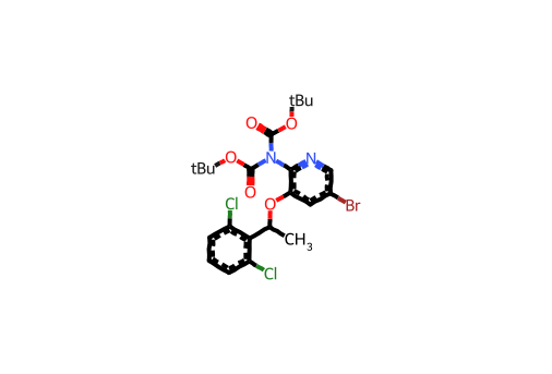 CC(Oc1cc(Br)cnc1N(C(=O)OC(C)(C)C)C(=O)OC(C)(C)C)c1c(Cl)cccc1Cl